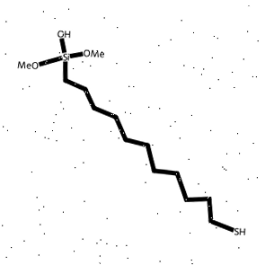 CO[Si](O)(CCCCCCCCCCCS)OC